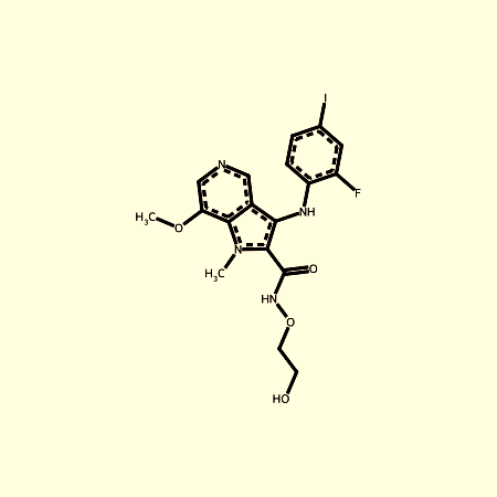 COc1cncc2c(Nc3ccc(I)cc3F)c(C(=O)NOCCO)n(C)c12